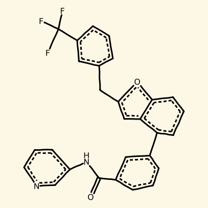 O=C(Nc1cccnc1)c1cccc(-c2cccc3oc(Cc4cccc(C(F)(F)F)c4)cc23)c1